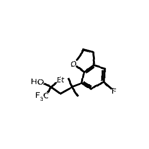 CCC(O)(CC(C)(C)c1cc(F)cc2c1OCC2)C(F)(F)F